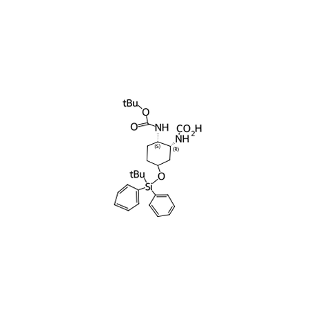 CC(C)(C)OC(=O)N[C@H]1CCC(O[Si](c2ccccc2)(c2ccccc2)C(C)(C)C)C[C@H]1NC(=O)O